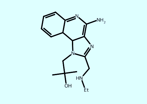 CCNCC1=NC2=C(N)N=C3C=CC=CC3C2N1CC(C)(C)O